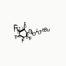 CC(C)(C)OCOOc1c(F)c(F)c(F)c(F)c1F